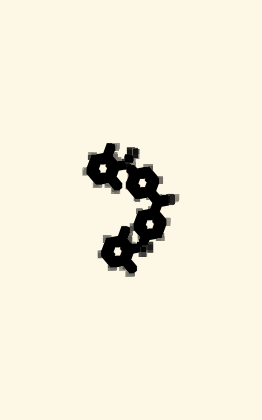 CCN(c1ccc(C(=O)c2ccc(Nc3c(C)cccc3C)cc2)cc1)c1c(C)cccc1C